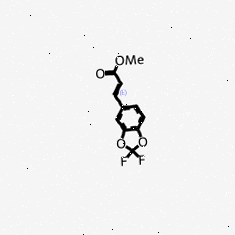 COC(=O)/C=C/c1ccc2c(c1)OC(F)(F)O2